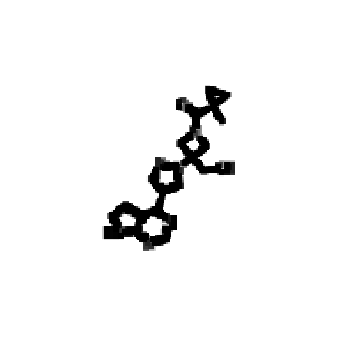 CC1(C(=O)N2CC(CC#N)(n3cc(-c4ncnc5[nH]ccc45)cn3)C2)CC1